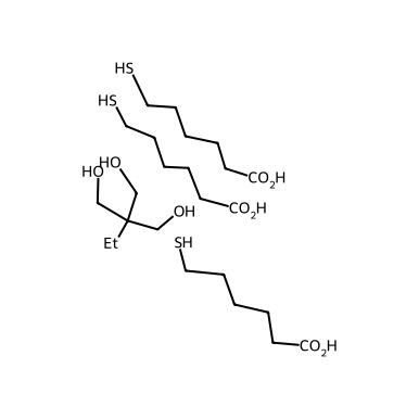 CCC(CO)(CO)CO.O=C(O)CCCCCS.O=C(O)CCCCCS.O=C(O)CCCCCS